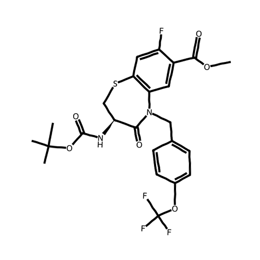 COC(=O)c1cc2c(cc1F)SC[C@H](NC(=O)OC(C)(C)C)C(=O)N2Cc1ccc(OC(F)(F)F)cc1